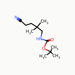 CC(C)(CCC#N)CNC(=O)OC(C)(C)C